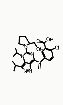 CC(C)c1nnc2c(Nc3ccc(Cl)c(C(=O)O)c3)nc(N3CCCC3CO)n(C(C)C)c1-2